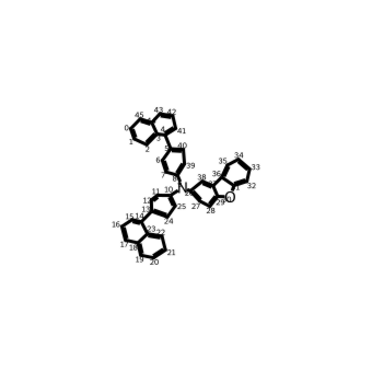 c1ccc2c(-c3ccc(N(c4ccc(-c5cccc6ccccc56)cc4)c4ccc5oc6ccccc6c5c4)cc3)cccc2c1